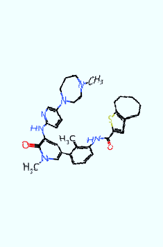 Cc1c(NC(=O)c2cc3c(s2)CCCCC3)cccc1-c1cc(Nc2ccc(N3CCCN(C)CC3)cn2)c(=O)n(C)c1